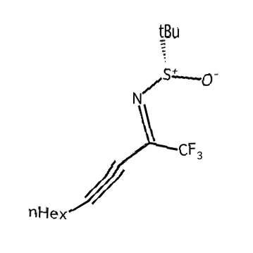 CCCCCCC#CC(=N[S@@+]([O-])C(C)(C)C)C(F)(F)F